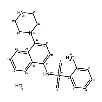 Cc1ccccc1S(=O)(=O)Nc1ccc(N2CCNCC2)c2ccccc12.Cl